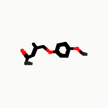 CCC(C)Oc1ccc(OCC(C)=CC(=O)OC)cc1